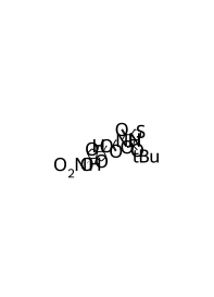 CC(C)(C)OC(=O)N1CSCC1C(=O)NCC(=O)O[C@H]1CO[C@H]2[C@@H]1OC[C@H]2O[N+](=O)[O-]